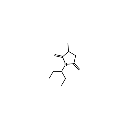 C=C1CC(C)C(=C)N1C(CC)CC